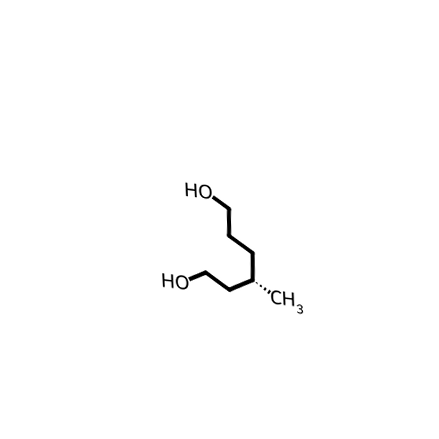 C[C@H](CCO)CCCO